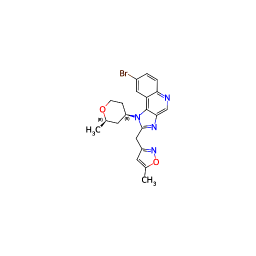 Cc1cc(Cc2nc3cnc4ccc(Br)cc4c3n2[C@@H]2CCO[C@H](C)C2)no1